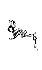 Cc1cc(C(F)(F)F)c2cccc(OCc3c(Cl)ccc(S(=O)(=O)N4CCC[C@H]4C(=O)N4CCN(C(=O)c5ccc(C=NN)cc5)CC4)c3Cl)c2n1